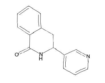 O=C1NC(c2cccnc2)Cc2ccccc21